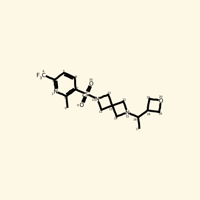 Cc1nc(C(F)(F)F)ccc1S(=O)(=O)N1CC2(CN(C(C)C3COC3)C2)C1